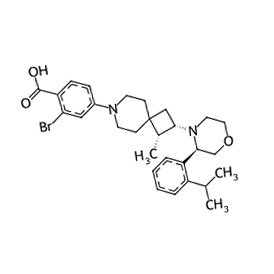 CC(C)c1ccccc1[C@@H]1COCCN1[C@H]1CC2(CCN(c3ccc(C(=O)O)c(Br)c3)CC2)[C@H]1C